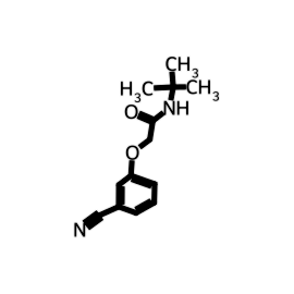 CC(C)(C)NC(=O)COc1cccc(C#N)c1